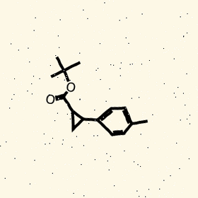 Cc1ccc(C2CC2C(=O)OC(C)(C)C)cc1